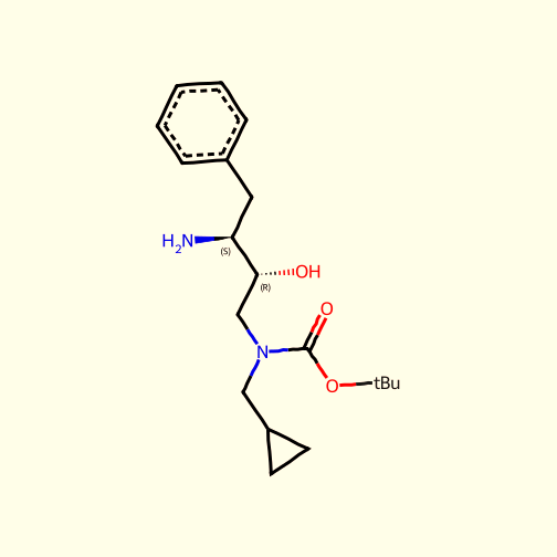 CC(C)(C)OC(=O)N(CC1CC1)C[C@@H](O)[C@@H](N)Cc1ccccc1